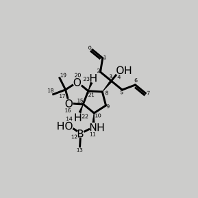 C=CCC(O)(CC=C)[C@H]1C[C@@H](NB(C)O)[C@@H]2OC(C)(C)O[C@@H]21